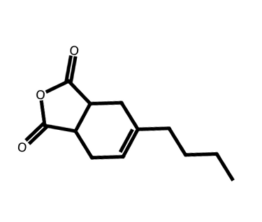 CCCCC1=CCC2C(=O)OC(=O)C2C1